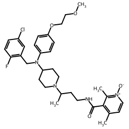 COCCOc1ccc(N(Cc2cc(Cl)ccc2F)C2CCN(C(C)CCNC(=O)c3c(C)cc[n+]([O-])c3C)CC2)cc1